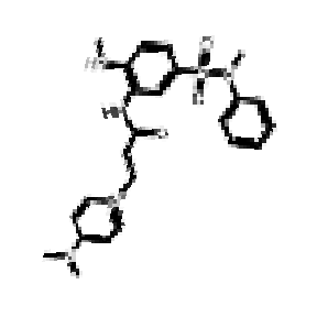 CNc1ccc(S(=O)(=O)N(C)c2ccccc2)cc1NC(=O)CC[n+]1ccc(N(C)C)cc1